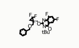 CC(C)(C)Oc1nc(OC[C@]2(COCc3ccccc3)CC2(F)F)nc2c(F)cc(F)cc12